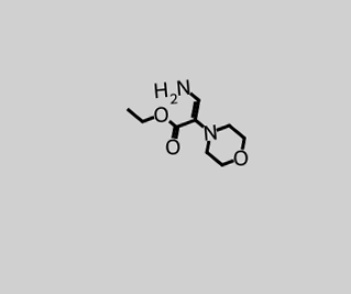 CCOC(=O)C(=CN)N1CCOCC1